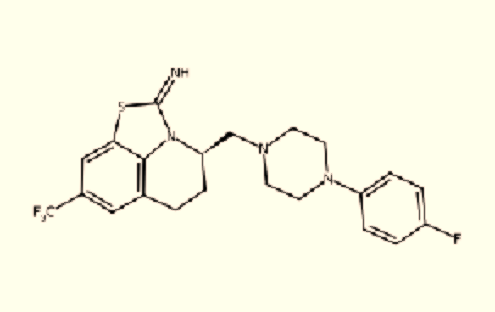 N=c1sc2cc(C(F)(F)F)cc3c2n1[C@@H](CN1CCN(c2ccc(F)cc2)CC1)CC3